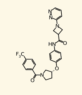 O=C(Nc1ccc(O[C@@H]2CCN(C(=O)c3ccc(C(F)(F)F)cc3)C2)cc1)C1CN(c2cccnn2)C1